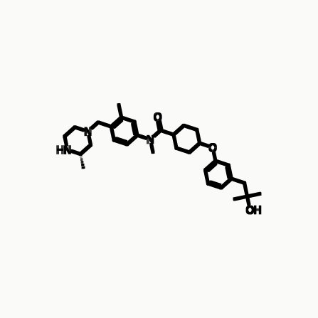 Cc1cc(N(C)C(=O)C2CCC(Oc3cccc(CC(C)(C)O)c3)CC2)ccc1CN1CCN[C@@H](C)C1